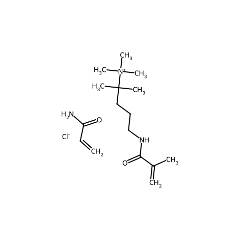 C=C(C)C(=O)NCCCC(C)(C)[N+](C)(C)C.C=CC(N)=O.[Cl-]